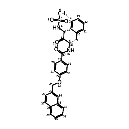 CS(=O)(=O)NCC(=O)[C@H](Cc1ccccc1)NC(=O)c1ccc(OCc2ccc3ccccc3c2)cc1